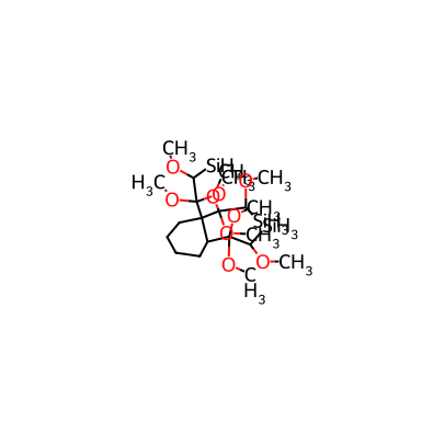 COC([SiH3])C(OC)(OC)C1CCCCC1(C(OC)(OC)C([SiH3])OC)C(OC)(OC)C([SiH3])OC